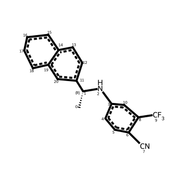 C[C@@H](Nc1ccc(C#N)c(C(F)(F)F)c1)c1ccc2ccccc2c1